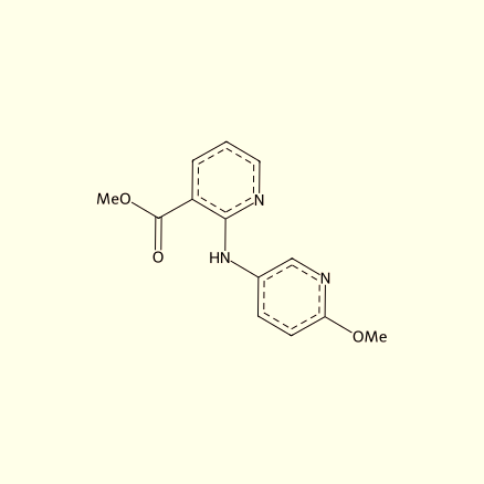 COC(=O)c1cccnc1Nc1ccc(OC)nc1